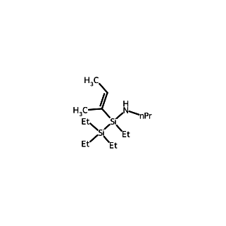 C/C=C(\C)[Si](CC)(NCCC)[Si](CC)(CC)CC